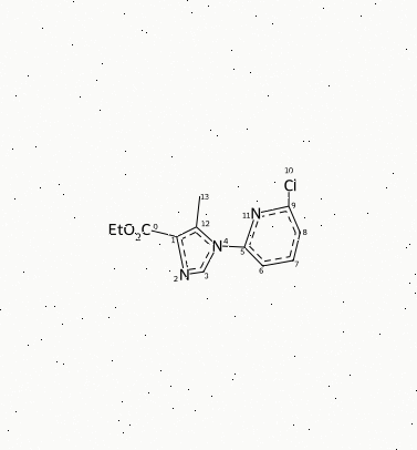 CCOC(=O)c1ncn(-c2cccc(Cl)n2)c1C